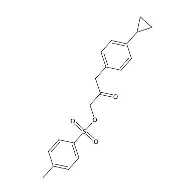 Cc1ccc(S(=O)(=O)OCC(=O)Cc2ccc(C3CC3)cc2)cc1